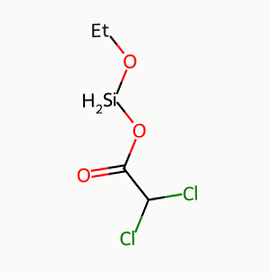 CCO[SiH2]OC(=O)C(Cl)Cl